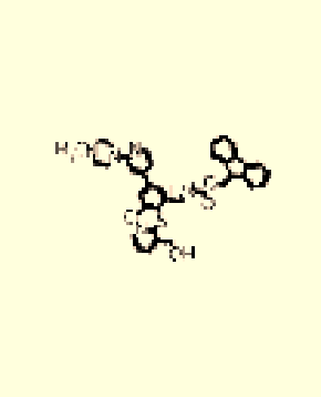 CN1CCN(c2cc(-c3cc(Cl)c(Sc4ncccc4CO)c(CNC(=O)OCC4c5ccccc5-c5ccccc54)c3)ccn2)CC1